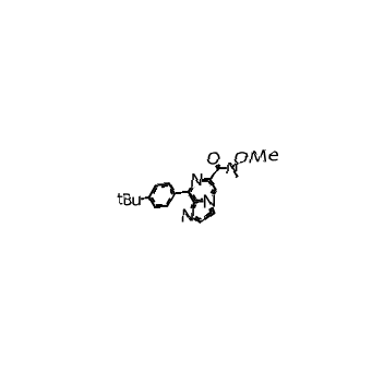 CON(C)C(=O)c1cn2ccnc2c(-c2ccc(C(C)(C)C)cc2)n1